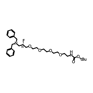 CC(C)(C)OC(=O)NCCOCCOCCOCCOC[C@@H](F)CN(Cc1ccccc1)Cc1ccccc1